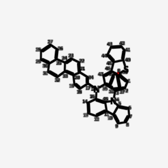 c1ccc(-n2c3ccccc3c3cccc(N(c4ccc5c(ccc6c7ccccc7ccc56)c4)c4ccc5sc6ccccc6c5c4)c32)cc1